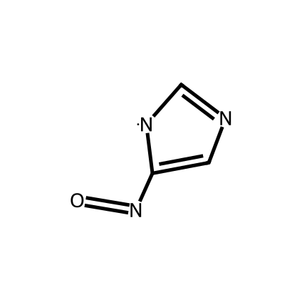 O=NC1=CN=C[N]1